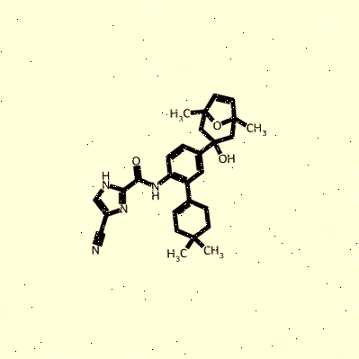 CC1(C)CC=C(c2cc(C3(O)CC4(C)C=CC(C)(C3)O4)ccc2NC(=O)c2nc(C#N)c[nH]2)CC1